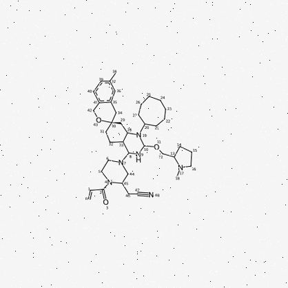 C=CC(=O)N1CCN(C2NC(OCC3CCCN3C)N(C3CCCCCCC3)C3C[C@]4(CCC23)Cc2cc(C)ccc2CO4)CC1CC#N